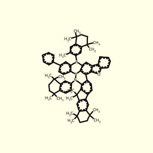 Cc1cc2c(cc1N1c3cc(-c4ccccc4)ccc3B3c4c1cc1c(oc5ccccc51)c4-c1ccc4c(c1N3c1ccc3c(c1)C(C)(C)CCC3(C)C)C(C)(C)c1cc3c(cc1-4)C(C)(C)CCC3(C)C)C(C)(C)CCC2(C)C